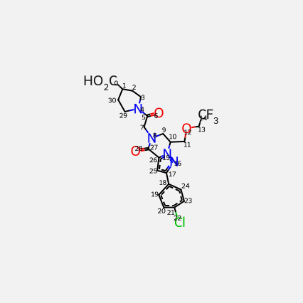 O=C(O)C1CCN(C(=O)CN2CC(COCC(F)(F)F)n3nc(-c4ccc(Cl)cc4)cc3C2=O)CC1